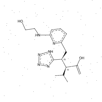 C=C(O)[C@@H](C(C)C)[C@H](Cc1cccc(NCCO)n1)c1nnn[nH]1